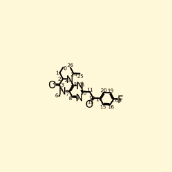 CCC1C(=O)N(C)c2cnc(CC(=O)c3ccc(F)cc3)nc2N1C(C)C